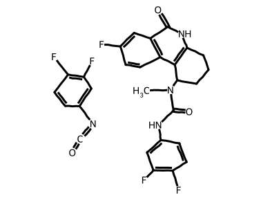 CN(C(=O)Nc1ccc(F)c(F)c1)C1CCCc2[nH]c(=O)c3cc(F)ccc3c21.O=C=Nc1ccc(F)c(F)c1